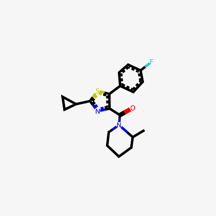 CC1CCCCN1C(=O)c1nc(C2CC2)sc1-c1ccc(F)cc1